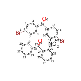 O=C(c1ccc(Br)cc1)c1ccc(Br)cc1.O=C(c1ccccc1)c1ccccc1[N+](=O)[O-]